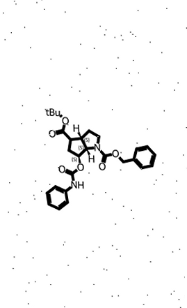 CC(C)(C)OC(=O)C1C[C@H](OC(=O)Nc2ccccc2)[C@@H]2[C@H]1CCN2C(=O)OCc1ccccc1